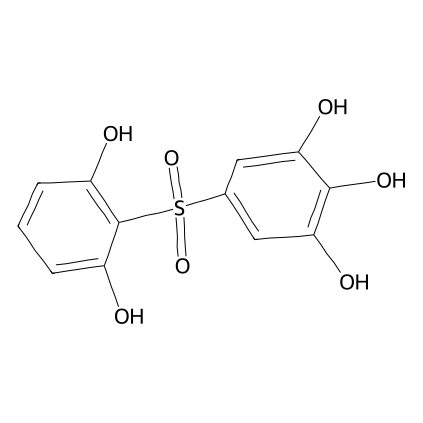 O=S(=O)(c1cc(O)c(O)c(O)c1)c1c(O)cccc1O